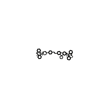 C1=C(c2ccc(/C=C/c3ccc4c(c3)C3(CCCC3)c3cc(N5c6ccccc6Sc6ccccc65)ccc3-4)cc2)CCC(N2c3ccccc3Sc3ccccc32)=C1